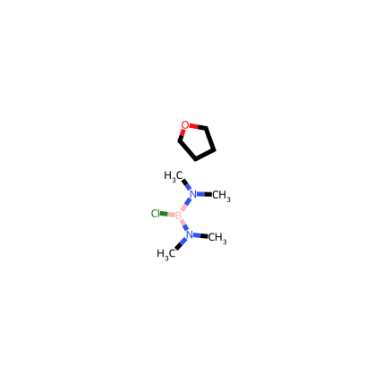 C1CCOC1.CN(C)B(Cl)N(C)C